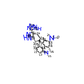 CN(C)c1cccc(C2(c3cccc(N(C)C)c3)C=Cc3c(-c4nnn[nH]4)n[nH]c3C2)c1